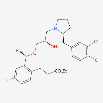 CCOC(=O)CCc1ccc(F)cc1[C@@H](CC)OC[C@H](O)CN1CCC[C@H]1Cc1ccc(Cl)c(Cl)c1